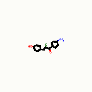 Nc1ccc(C(=O)C(Cl)=Cc2ccc(O)cc2)cc1